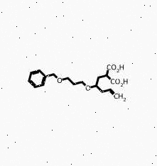 C=CCC(CC(C(=O)O)C(=O)O)OCCCOCc1ccccc1